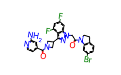 Nc1cc(C(=O)N2CC(c3nn(CC(=O)N4CCc5ccc(Br)cc54)c4cc(F)cc(F)c34)C2)ccn1